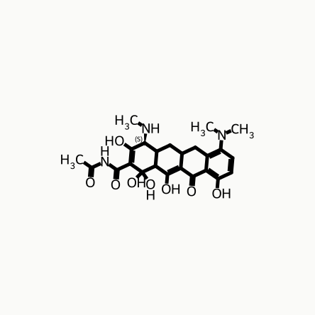 CN[C@@H]1C(O)=C(C(=O)NC(C)=O)C(O)(O)C2C(O)=C3C(=O)c4c(O)ccc(N(C)C)c4CC3CC21